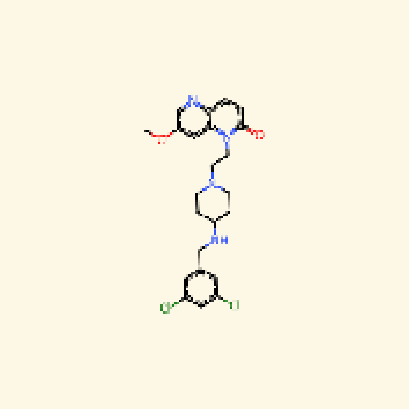 COc1cnc2ccc(=O)n(CCN3CCC(NCc4cc(Cl)cc(Cl)c4)CC3)c2c1